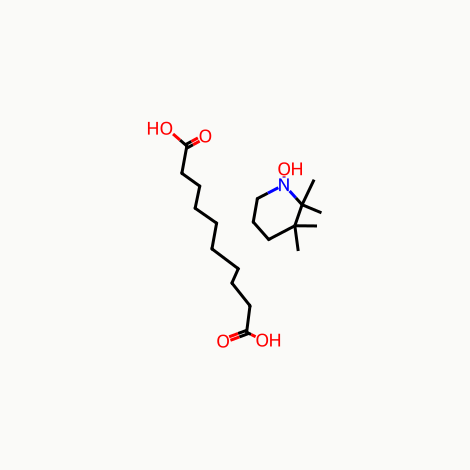 CC1(C)CCCN(O)C1(C)C.O=C(O)CCCCCCCCC(=O)O